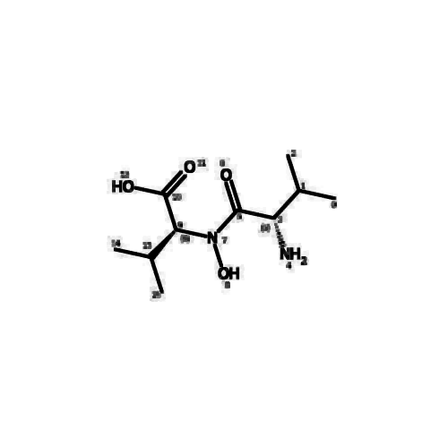 CC(C)[C@H](N)C(=O)N(O)[C@H](C(=O)O)C(C)C